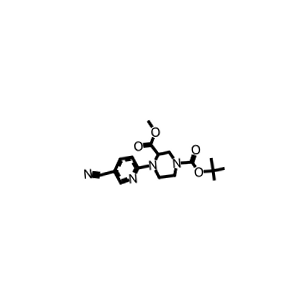 COC(=O)C1CN(C(=O)OC(C)(C)C)CCN1c1ccc(C#N)cn1